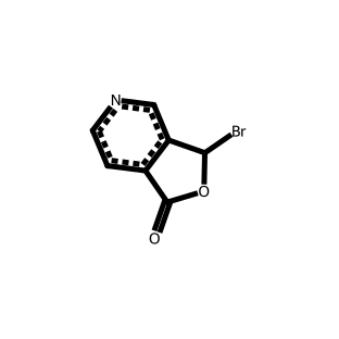 O=C1OC(Br)c2cnccc21